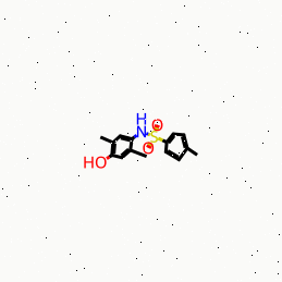 Cc1ccc(S(=O)(=O)Nc2cc(C)c(O)cc2C)cc1